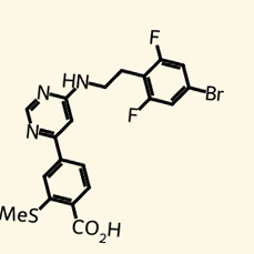 CSc1cc(-c2cc(NCCc3c(F)cc(Br)cc3F)ncn2)ccc1C(=O)O